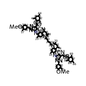 COc1ccc(-c2nc3n(n2)/C(=N/c2cc4c(cc2C)N(CCCCCN2c5cc(C)c(/N=C6\C(C#N)=C(C(=O)OC7C(C)CC(C)CC7C)c7nc(-c8ccc(OC)c(C)c8)nn76)cc5C(C)CC2(C)C)C(C)(C)CC4C)C(C#N)=C3COOC2C(C)CC(C)CC2C)cc1C